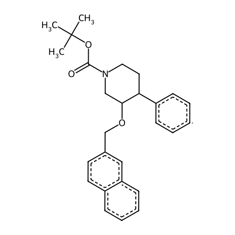 CC(C)(C)OC(=O)N1CCC(c2cc[c]cc2)C(OCc2ccc3ccccc3c2)C1